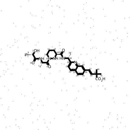 CC(C)[C@H](O)C(=O)N[C@@H](C)C(=O)N1CCC[C@@H](C(=O)N[C@H](C)c2ccc3ccc(/C=C/C(C)(C)C(=O)O)cc3n2)N1